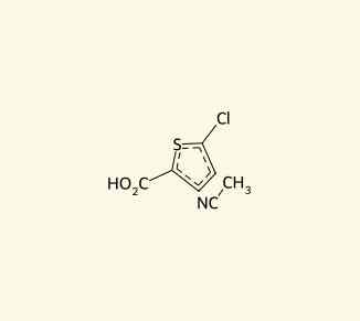 CC#N.O=C(O)c1ccc(Cl)s1